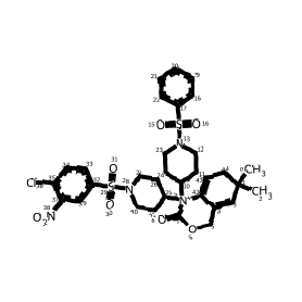 CC1(C)C=C2COC(=O)[N+](C3CCN(S(=O)(=O)c4ccccc4)CC3)(C3CCN(S(=O)(=O)c4ccc(Cl)c([N+](=O)[O-])c4)CC3)C2=CC1